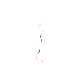 O=[SH](=O)OCCOCCO